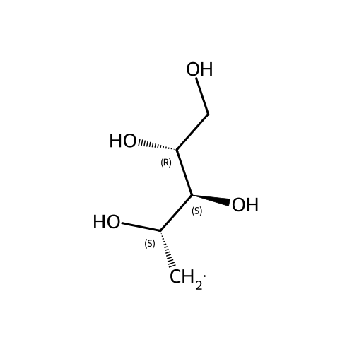 [CH2][C@H](O)[C@H](O)[C@H](O)CO